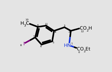 CCOC(=O)NC(Cc1ccc(I)c(C)c1)C(=O)O